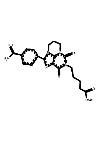 COC(=O)CCCCn1c(=O)c2nc(-c3ccc(C(=N)N)cc3)n3c2n(c1=O)CCC3